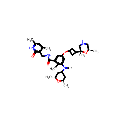 CCN(c1cc(OC2CC([C@@]3(C)CNC[C@@H](C)O3)C2)cc(C(=O)NCc2c(C)cc(C)[nH]c2=O)c1C)C1C[C@@H](C)O[C@@H](C)C1